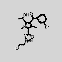 Cc1c(C(=O)c2cccc(Br)c2)c(C(C)O)n(C)c1-c1nnn(CCO)n1